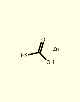 O=C(O)S.[Zn]